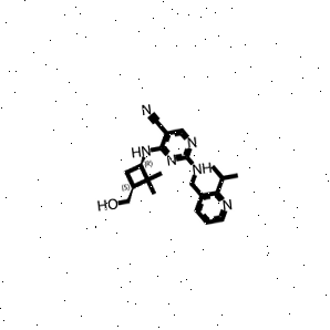 CC(C)c1ncccc1CNc1ncc(C#N)c(N[C@@H]2C[C@H](CO)C2(C)C)n1